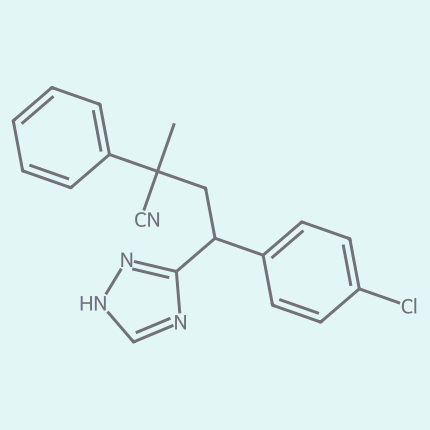 CC(C#N)(CC(c1ccc(Cl)cc1)c1nc[nH]n1)c1ccccc1